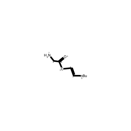 CCCCC=COC(=O)CN